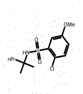 CCCC(C)(C)NS(=O)(=O)c1cc(OC)ccc1Cl